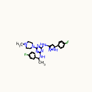 CC(Nc1nc(Nc2cc(-c3ccc(F)cc3)[nH]n2)nc(N2CCN(C)CC2)n1)c1ccc(F)cc1